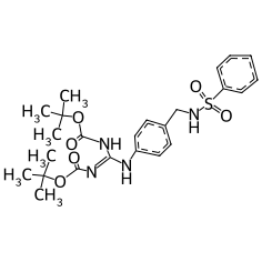 CC(C)(C)OC(=O)/N=C(\NC(=O)OC(C)(C)C)Nc1ccc(CNS(=O)(=O)c2ccccc2)cc1